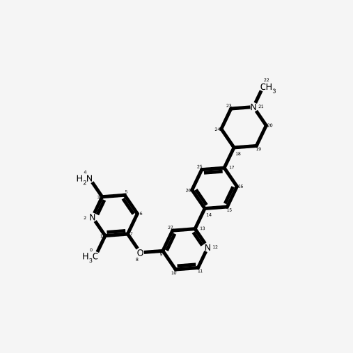 Cc1nc(N)ccc1Oc1ccnc(-c2ccc(C3CCN(C)CC3)cc2)c1